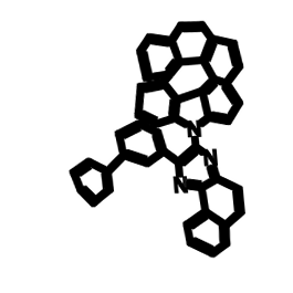 c1ccc(-c2cccc(-c3nc4c(ccc5ccccc54)nc3-n3c4cccc5c4c4c6c(ccc7ccc8cccc-5c8c76)ccc43)c2)cc1